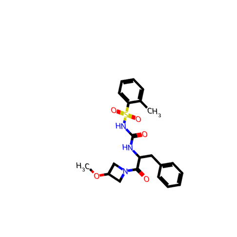 COC1CN(C(=O)C(Cc2ccccc2)NC(=O)NS(=O)(=O)c2ccccc2C)C1